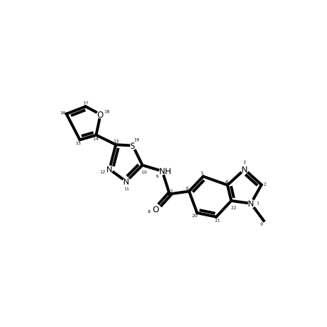 Cn1cnc2cc(C(=O)Nc3nnc(-c4ccco4)s3)ccc21